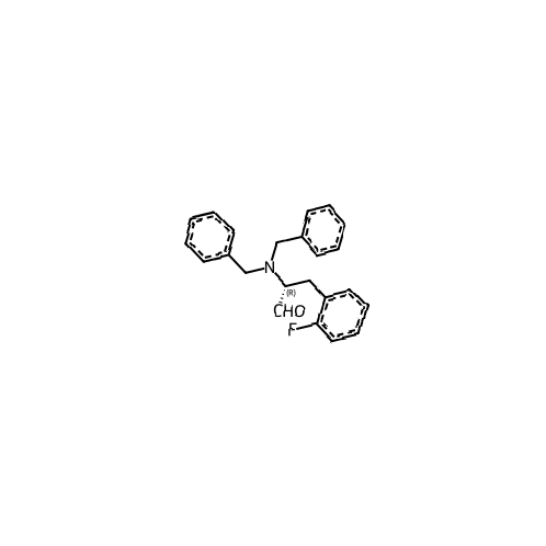 O=C[C@@H](Cc1ccccc1F)N(Cc1ccccc1)Cc1ccccc1